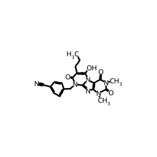 CCCc1c(O)n2c3c(=O)n(C)c(=O)n(C)c3nc2n(Cc2ccc(C#N)cc2)c1=O